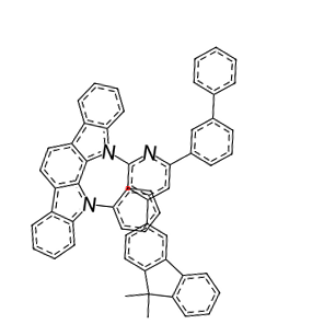 CC1(C)c2ccccc2-c2cc(-c3cc(-c4cccc(-c5ccccc5)c4)nc(-n4c5ccccc5c5ccc6c7ccccc7n(-c7ccccc7)c6c54)c3)ccc21